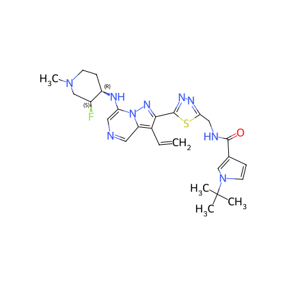 C=Cc1c(-c2nnc(CNC(=O)c3ccn(C(C)(C)C)c3)s2)nn2c(N[C@@H]3CCN(C)C[C@@H]3F)cncc12